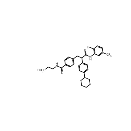 O=C(O)CCNC(=O)c1ccc(CC(C(=O)Nc2cc(C(F)(F)F)ccc2Cl)c2ccc(C3CCCCC3)cc2)cc1